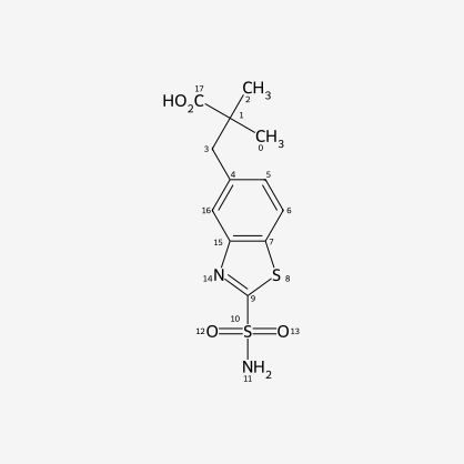 CC(C)(Cc1ccc2sc(S(N)(=O)=O)nc2c1)C(=O)O